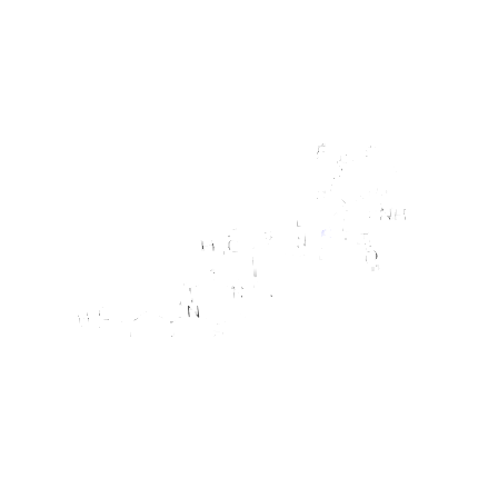 CCCCN1CCN(c2ccc(N/C=C3/C(=O)Nc4ccc(F)cc43)cc2C)CC1